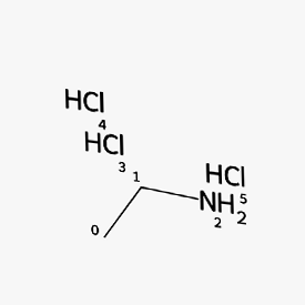 CCN.Cl.Cl.Cl